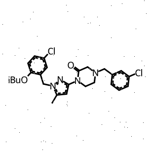 Cc1cc(N2CCN(Cc3cccc(Cl)c3)CC2=O)nn1Cc1cc(Cl)ccc1OCC(C)C